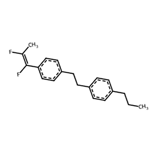 CCCc1ccc(CCc2ccc(/C(F)=C(\C)F)cc2)cc1